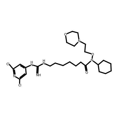 N=C(NCCCCCCC(=O)N(OCCN1CCOCC1)C1CCCCC1)Nc1cc(Cl)nc(Cl)c1